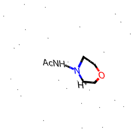 CC(=O)NN1CCOCC1.[H+]